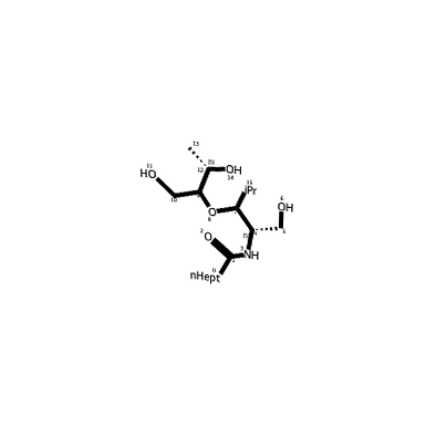 CCCCCCCC(=O)N[C@@H](CO)C(OC(CO)[C@H](C)O)C(C)C